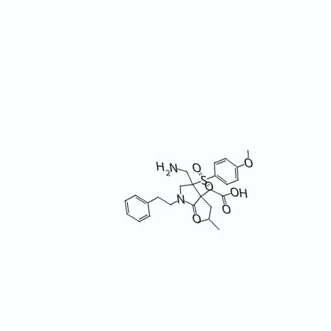 COc1ccc(S(=O)(=O)C2(CN)CN(CCc3ccccc3)C(=O)C2(CC(=O)O)CC(C)C)cc1